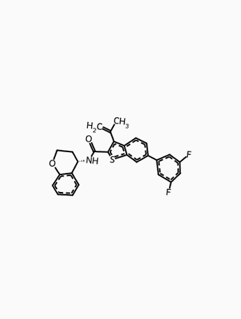 C=C(C)c1c(C(=O)N[C@H]2CCOc3ccccc32)sc2cc(-c3cc(F)cc(F)c3)ccc12